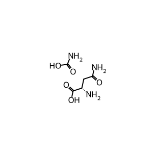 NC(=O)C[C@H](N)C(=O)O.NC(=O)O